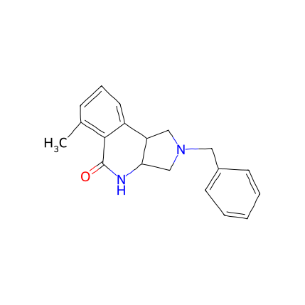 Cc1cccc2c1C(=O)NC1CN(Cc3ccccc3)CC21